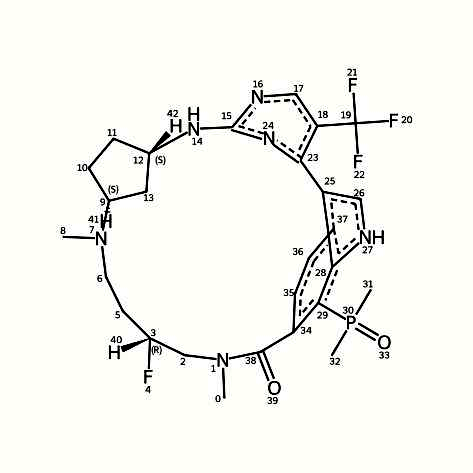 CN1C[C@H](F)CCN(C)[C@H]2CC[C@@H](C2)Nc2ncc(C(F)(F)F)c(n2)-c2c[nH]c3c(P(C)(C)=O)c(ccc23)C1=O